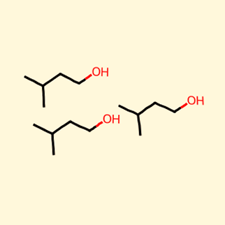 CC(C)CCO.CC(C)CCO.CC(C)CCO